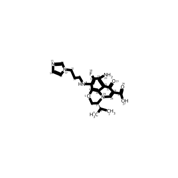 CC(C)[C@@H]1COc2c(NCCCn3ccnc3)c(F)c(N)c3c(=O)c(C(=O)O)cn1c23